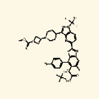 [2H]C([2H])([2H])n1nc(C2CCN(C3CN(C(=O)OC)C3)CC2)c2nc(-c3nc4cc(C)c([C@H](OC(C)(C)C)C(=O)O)c(-c5ccc(Cl)cc5)c4s3)ccc21